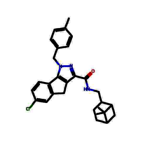 Cc1ccc(Cn2nc(C(=O)NCC3CCC4CC3C4(C)C)c3c2-c2ccc(Cl)cc2C3)cc1